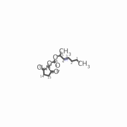 CCC/C=C/C(C)OC(=O)ON1C(=O)CCC1=O